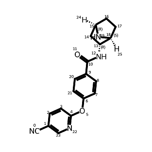 N#Cc1ccc(Oc2ccc(C(=O)N[C@@H]3C[C@H]4CC[C@@H]3N4)cc2)nc1